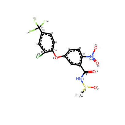 C[S+]([O-])NC(=O)c1cc(Oc2ccc(C(F)(F)F)cc2Cl)ccc1[N+](=O)[O-]